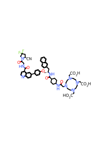 N#C[C@@H]1CC(F)(F)CN1C(=O)CNC(=O)c1ccnc2ccc(-c3ccc(OC[C@H](Cc4ccc5ccccc5c4)NC(=O)C4CCC(NC(=O)CN5CCN(CC(=O)O)CCN(CC(=O)O)CCN(CC(=O)O)CC5)CC4)cc3)cc12